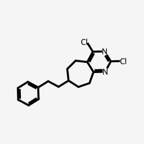 Clc1nc(Cl)c2c(n1)CCC(CCc1ccccc1)CC2